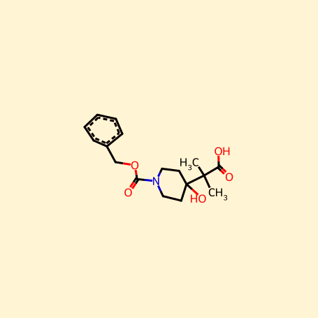 CC(C)(C(=O)O)C1(O)CCN(C(=O)OCc2ccccc2)CC1